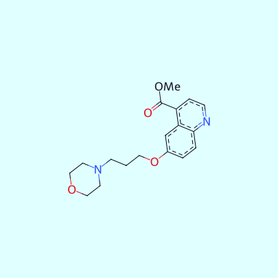 COC(=O)c1ccnc2ccc(OCCCN3CCOCC3)cc12